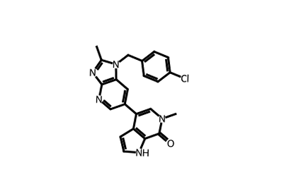 Cc1nc2ncc(-c3cn(C)c(=O)c4[nH]ccc34)cc2n1Cc1ccc(Cl)cc1